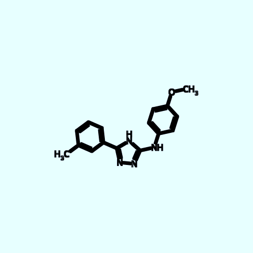 COc1ccc(Nc2nnc(-c3cccc(C)c3)[nH]2)cc1